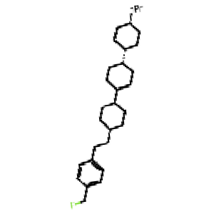 CCC[C@H]1CC[C@H](C2CCC(C3CCC(CCc4ccc(CF)cc4)CC3)CC2)CC1